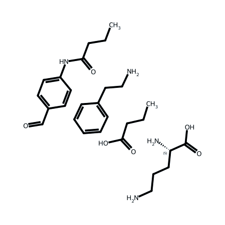 CCCC(=O)Nc1ccc(C=O)cc1.CCCC(=O)O.NCCC[C@H](N)C(=O)O.NCCc1ccccc1